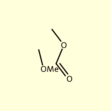 COC.COC=O